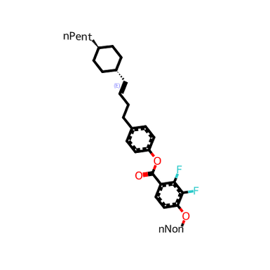 CCCCCCCCCOc1ccc(C(=O)Oc2ccc(CC/C=C/[C@H]3CC[C@H](CCCCC)CC3)cc2)c(F)c1F